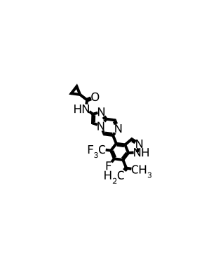 C=C(C)c1c(F)c(C(F)(F)F)c(-c2cn3cc(NC(=O)C4CC4)nc3cn2)c2cn[nH]c12